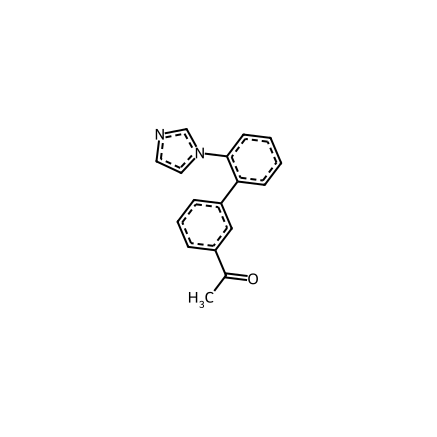 CC(=O)c1cccc(-c2ccccc2-n2ccnc2)c1